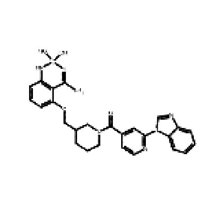 NC1=NS(O)(O)Nc2cccc(OCC3CCCN(C(=O)c4ccnc(-n5cnc6ccccc65)c4)C3)c21